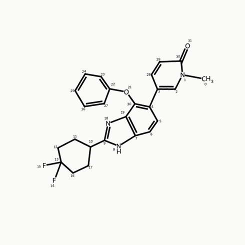 Cn1cc(-c2ccc3[nH]c(C4CCC(F)(F)CC4)nc3c2Oc2ccccc2)ccc1=O